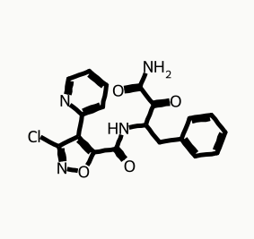 NC(=O)C(=O)C(Cc1ccccc1)NC(=O)c1onc(Cl)c1-c1ccccn1